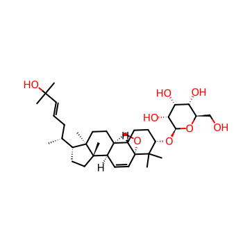 C[C@H](C/C=C/C(C)(C)O)[C@H]1CC[C@@]2(C)[C@@H]3C=C[C@@]45OC[C@]3(CC[C@]12C)[C@@H]4CC[C@H](O[C@@H]1O[C@H](CO)[C@@H](O)[C@@H](O)[C@H]1O)C5(C)C